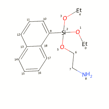 CCO[Si](OCC)(OCCN)c1cccc2ccccc12